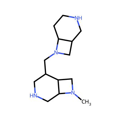 CN1CC2C(CN3CC4CNCCC43)CNCC21